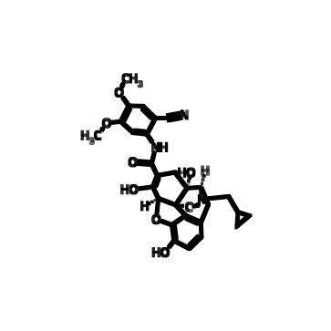 COc1cc(C#N)c(NC(=O)C2=C(O)[C@@H]3Oc4c(O)ccc5c4[C@@]34CCN(CC3CC3)[C@H](C5)[C@]4(O)C2)cc1OC